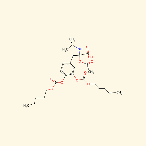 CCCCCOC(=O)Oc1ccc(C[C@](NC(C)C)(OC(C)=O)C(=O)O)cc1OC(=O)OCCCCC